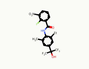 CCc1cc(C(O)(C(F)(F)F)C(F)(F)F)cc(C)c1NC(=O)c1cccc([N+](=O)[O-])c1F